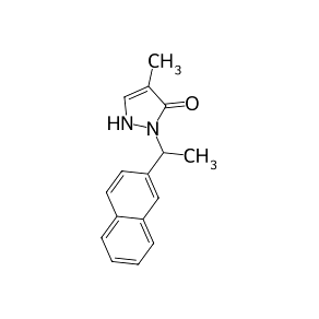 Cc1c[nH]n(C(C)c2ccc3ccccc3c2)c1=O